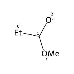 CCC([O])OC